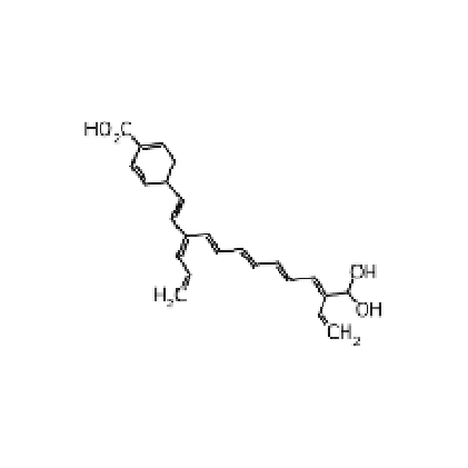 C=C/C=C(\C=C\C=C\C=C\C=C(/C=C)C(O)O)/C=C/C1C=CC(C(=O)O)=CC1